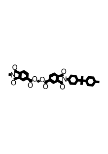 CC1CCC(C(C)(C)C2CCC(N3C(=O)c4ccc(C(=O)OCOC(=O)c5ccc6c(c5)C(=O)N(C)C6=O)cc4C3=O)CC2)CC1